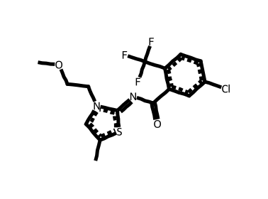 COCCn1cc(C)sc1=NC(=O)c1cc(Cl)ccc1C(F)(F)F